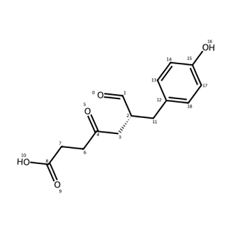 O=C[C@@H](CC(=O)CCC(=O)O)Cc1ccc(O)cc1